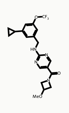 COC1CN(C(=O)c2cnc(NCc3cc(OC(F)(F)F)cc(C4CC4)c3)nc2)C1